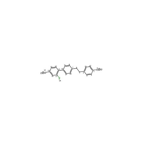 CCCCc1ccc(CCc2ccc(-c3ccc(CCCC)cc3F)cc2)cc1